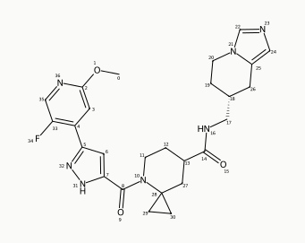 COc1cc(-c2cc(C(=O)N3CCC(C(=O)NC[C@@H]4CCn5cncc5C4)CC34CC4)[nH]n2)c(F)cn1